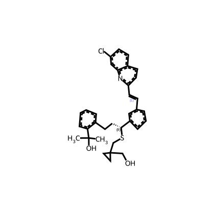 CC(C)(O)c1ccccc1CC[C@@H](SCC1(CO)CC1)c1cccc(/C=C/c2ccc3ccc(Cl)cc3n2)c1